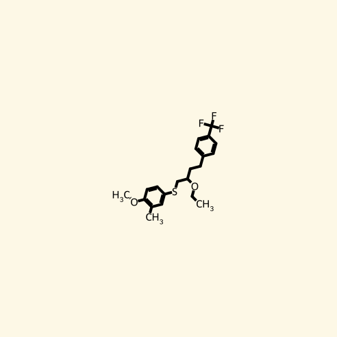 CCOC(CCc1ccc(C(F)(F)F)cc1)CSc1ccc(OC)c(C)c1